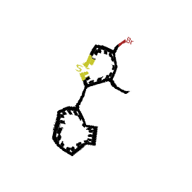 Cc1c(Br)csc1-c1ccccc1